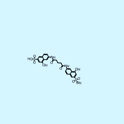 O=C(CCCC(=O)Nc1ccc2cc(S(=O)(=O)O)cc(O)c2c1)Nc1ccc2cc(S(=O)(=O)O)cc(O)c2c1